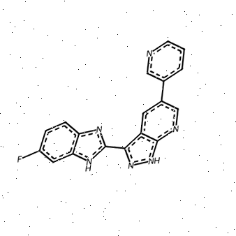 Fc1ccc2nc(-c3n[nH]c4ncc(-c5cccnc5)cc34)[nH]c2c1